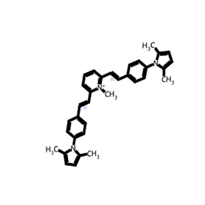 Cc1ccc(C)n1-c1ccc(/C=C/c2cccc(/C=C/c3ccc(-n4c(C)ccc4C)cc3)[n+]2C)cc1